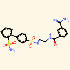 N=C(N)c1cccc(C(=O)NCCNS(=O)(=O)c2ccc(-c3ccccc3S(N)(=O)=O)cc2)c1